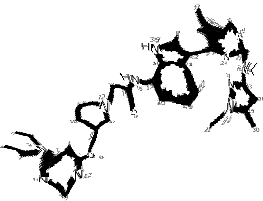 CCN(CC)c1cc(OC2CCN(CC(=O)Nc3cccc4c(-c5nc(Nc6cc(C)n(C)n6)ncc5C)c[nH]c34)C2)ncn1